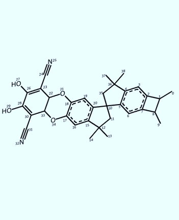 CC1c2cc3c(cc2C1C)C1(CC(C)(C)c2cc4c(cc21)OC1C(C#N)=C(O)C(O)=C(C#N)C1O4)CC3(C)C